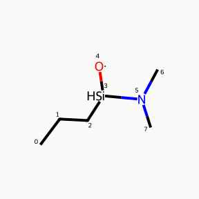 CCC[SiH]([O])N(C)C